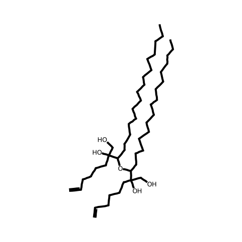 C=CCCCCC(O)(CO)C(CCCCCCCCCCCCCCCC)OC(CCCCCCCCCCCCCCCC)C(O)(CO)CCCCC=C